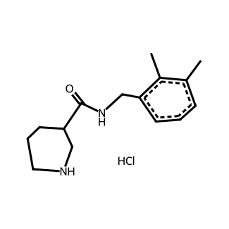 Cc1cccc(CNC(=O)C2CCCNC2)c1C.Cl